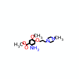 COC(=O)c1cc(OC)c(OCCCN2CCN(C)CC2)cc1N